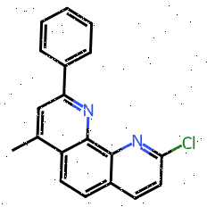 Cc1cc(-c2ccccc2)nc2c1ccc1ccc(Cl)nc12